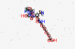 Cc1ncsc1-c1ccc(CNC(=O)[C@@H]2C[C@@H](O)CN2C(=O)[C@@H](NC(=O)C2(F)CC2)C(C)(C)C)c(OCC(=O)NCCOCCOCCOCCOCCC(=O)O)c1